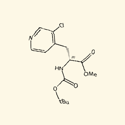 COC(=O)[C@@H](Cc1ccncc1Cl)NC(=O)OC(C)(C)C